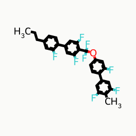 CCCc1ccc(-c2cc(F)c(C(F)(F)Oc3ccc(-c4cc(F)c(C)c(F)c4)c(F)c3)c(F)c2)c(F)c1